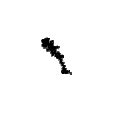 Cc1cc(Nc2ncc(Cl)c(Nc3ccccc3S(=O)(=O)C(C)C)n2)c(OC(C)C)cc1C1CCN(C(=O)CCCCCCCCC(N)=O)CC1